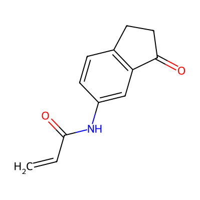 C=CC(=O)Nc1ccc2c(c1)C(=O)CC2